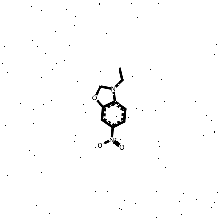 CCN1COc2cc([N+](=O)[O-])ccc21